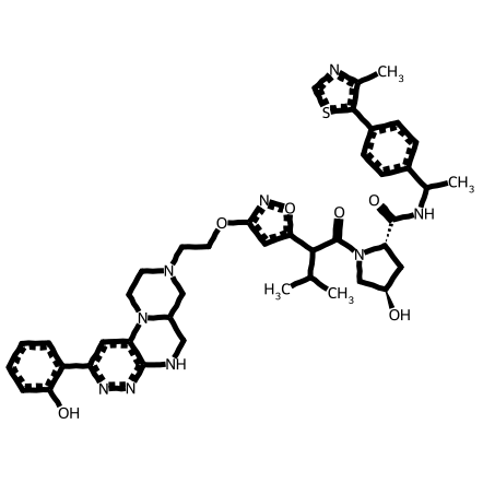 Cc1ncsc1-c1ccc(C(C)NC(=O)[C@@H]2C[C@@H](O)CN2C(=O)C(c2cc(OCCN3CCN4c5cc(-c6ccccc6O)nnc5NCC4C3)no2)C(C)C)cc1